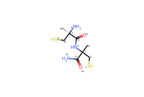 CC(CS)(NC(=O)[C@](C)(N)CS)C(N)=O